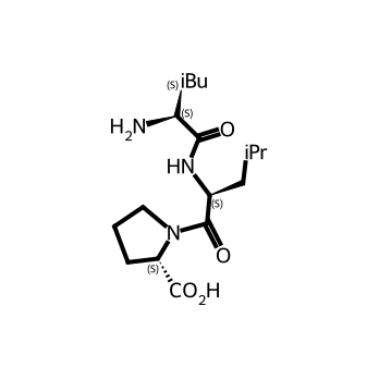 CC[C@H](C)[C@H](N)C(=O)N[C@@H](CC(C)C)C(=O)N1CCC[C@H]1C(=O)O